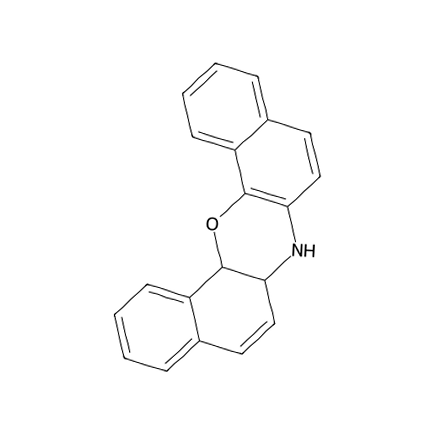 C1=CC2Nc3ccc4ccccc4c3OC2c2ccccc21